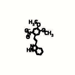 COc1cc(/C=C/c2n[nH]c3ccccc23)c([N+](=O)[O-])cc1OC